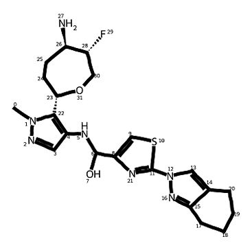 Cn1ncc(NC(O)c2csc(-n3cc4c(n3)CCCC4)n2)c1[C@@H]1CC[C@@H](N)[C@H](F)CO1